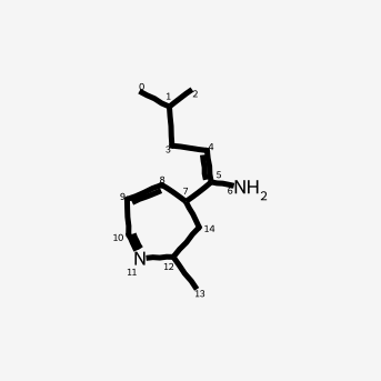 CC(C)C/C=C(/N)C1C=CC=NC(C)C1